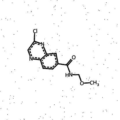 COCNC(=O)c1ccc2ncc(Cl)nc2c1